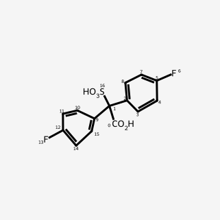 O=C(O)C(c1ccc(F)cc1)(c1ccc(F)cc1)S(=O)(=O)O